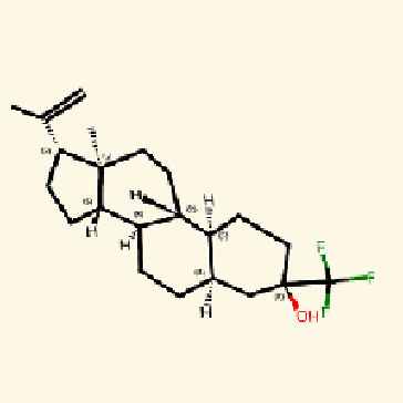 C=C(C)[C@H]1CC[C@H]2[C@@H]3CC[C@@H]4C[C@@](O)(C(F)(F)F)CC[C@@H]4[C@H]3CC[C@]12C